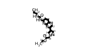 C=CCNC(=O)Nc1ccc2ncc(-c3cnn(CC(=O)OCC)c3)nc2n1